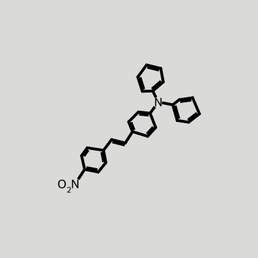 O=[N+]([O-])c1ccc(/C=C/c2ccc(N(c3ccccc3)c3ccccc3)cc2)cc1